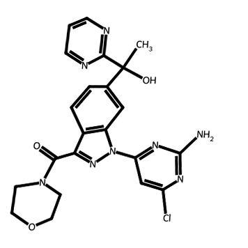 CC(O)(c1ccc2c(C(=O)N3CCOCC3)nn(-c3cc(Cl)nc(N)n3)c2c1)c1ncccn1